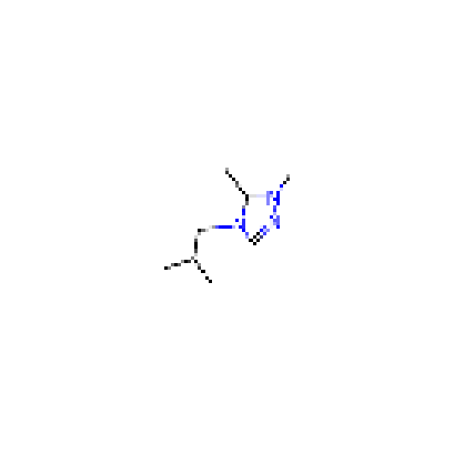 CC(C)CN1C=NN(C)C1C